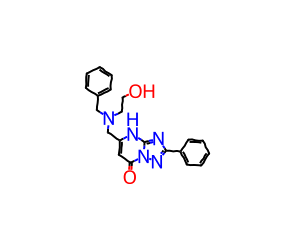 O=c1cc(CN(CCO)Cc2ccccc2)[nH]c2nc(-c3ccccc3)nn12